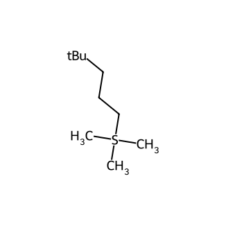 CC(C)(C)CCCS(C)(C)C